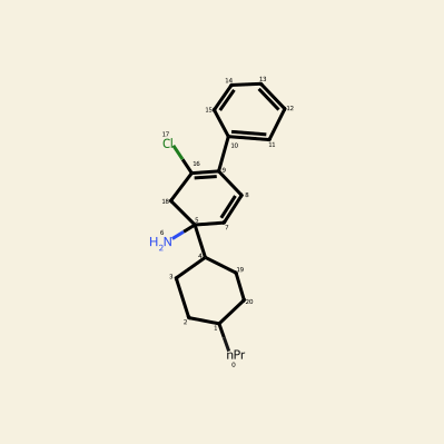 CCCC1CCC(C2(N)C=CC(c3ccccc3)=C(Cl)C2)CC1